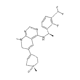 C[C@@H](Nc1ncnc2c1C=C(C1=CC[P@@](C)(=O)CC1)CN2C)c1cccc(C(F)F)c1F